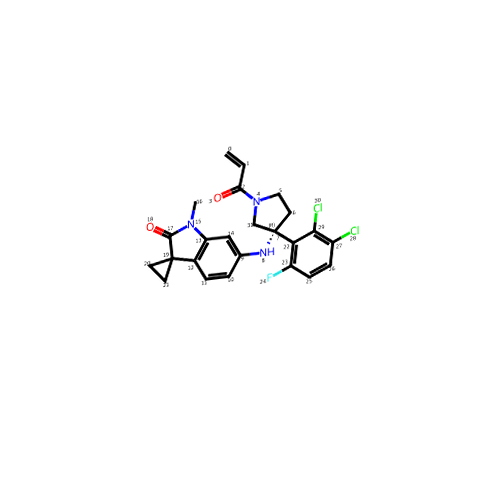 C=CC(=O)N1CC[C@@](Nc2ccc3c(c2)N(C)C(=O)C32CC2)(c2c(F)ccc(Cl)c2Cl)C1